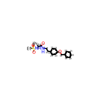 CCS(=O)(=O)NC(C(=O)NCCc1ccc(OCc2ccccc2)cc1)C(C)C